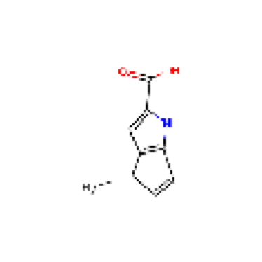 C[C@H]1C=Cc2[nH]c(C(=O)O)cc21